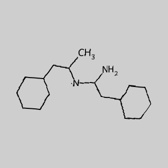 CC(CC1CCCCC1)[N]C(N)CC1CCCCC1